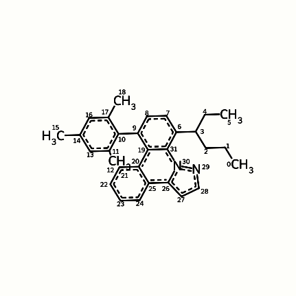 CCCC(CC)c1ccc(-c2c(C)cc(C)cc2C)c2c3ccccc3c3ccnn3c12